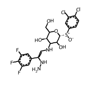 NN/C(=C\NC1C(O)[C@@H]([S+]([O-])c2ccc(Cl)c(Cl)c2)OC(CO)[C@@H]1O)c1cc(F)c(F)c(F)c1